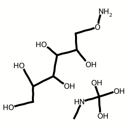 CNC(O)(O)O.NOCC(O)C(O)C(O)C(O)CO